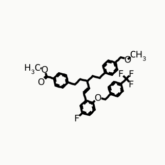 COCc1ccc(CCC(/C=C/c2cc(F)ccc2OCc2ccc(C(F)(F)F)cc2)CCc2ccc(C(=O)OC)cc2)cc1